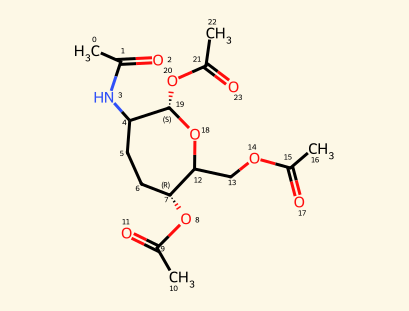 CC(=O)NC1CC[C@@H](OC(C)=O)C(COC(C)=O)O[C@H]1OC(C)=O